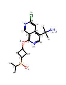 CC(C)[S+]([O-])C1CC(Oc2ncc(C(C)(C)N)c3cc(Cl)ncc23)C1